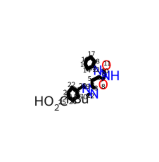 CCCCc1ncc(C=C2C(=O)NC(=O)N2c2ccccc2)n1Cc1ccc(C(=O)O)cc1